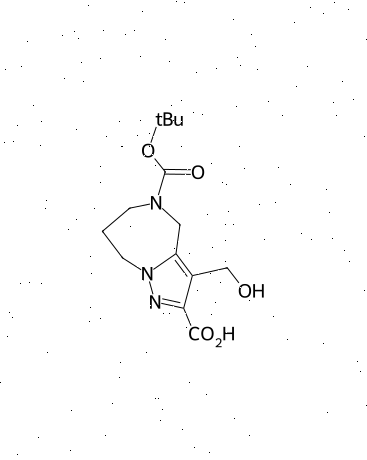 CC(C)(C)OC(=O)N1CCCn2nc(C(=O)O)c(CO)c2C1